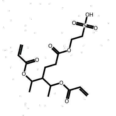 C=CC(=O)OC(C)C(CCC(=O)OCCS(=O)(=O)O)C(C)OC(=O)C=C